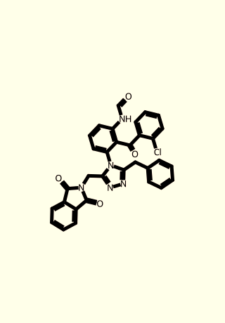 O=CNc1cccc(-n2c(Cc3ccccc3)nnc2CN2C(=O)c3ccccc3C2=O)c1C(=O)c1ccccc1Cl